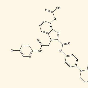 O=C(Cn1c(C(=O)Nc2ccc(N3CCOCC3=O)cc2)nc2c(OC(=O)O)cccc21)Nc1ccc(Cl)cn1